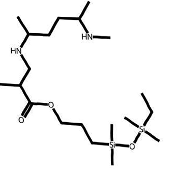 CC[Si](C)(C)O[Si](C)(C)CCCOC(=O)C(C)CNC(C)CCC(C)NC